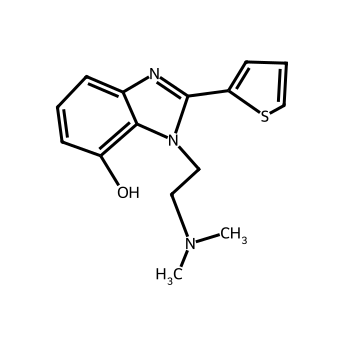 CN(C)CCn1c(-c2cccs2)nc2cccc(O)c21